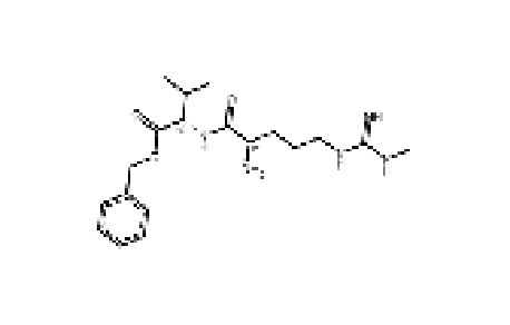 CNC(=N)NCCC[C@@H](N)C(=O)N[C@H](C(=O)OCc1ccccc1)C(C)C